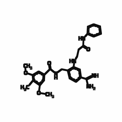 COc1cc(C(=O)NCc2ccc(C(=N)N)cc2NCCC(=O)Nc2ccccc2)cc(OC)c1C